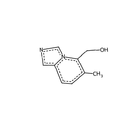 Cc1ccc2cncn2c1CO